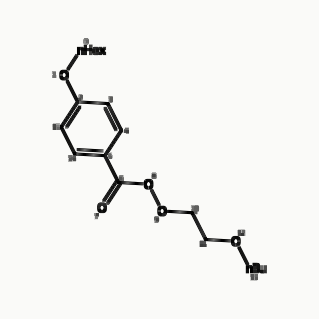 CCCCCCOc1ccc(C(=O)OO[CH]COCCCC)cc1